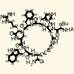 CCCC[C@H](NC(C)=O)C(=O)N[C@H]1CC(=O)NCCCC[C@@H](C(N)=O)NC(=O)[C@H](Cc2c[nH]c3ccccc23)NC(=O)[C@H]2CN(C(=O)[C@@H](Cc3ccccc3)NC(=O)[C@H](Cc3c[nH]cn3)NC1=O)[C@@H](CCCNC(=N)N)C(=O)N2